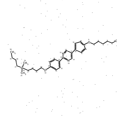 CCCCCCOc1ccc(-c2cnc(-c3ccc(OCCCC[Si](C)(C)CCCC)cc3)nc2)cc1